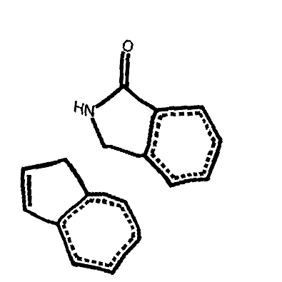 C1=Cc2ccccc2C1.O=C1NCc2ccccc21